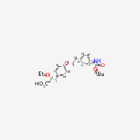 CCOC(Cc1ccc(OCCc2ccc(NC(=O)OC(C)(C)C)cc2)cc1)C(=O)O